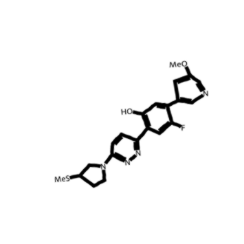 COc1cncc(-c2cc(O)c(-c3ccc(N4CCC(SC)C4)nn3)cc2F)c1